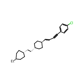 CC[C@H]1CC[C@H](CC[C@H]2CC[C@H](C=CC#Cc3ccc(Cl)cc3)CC2)CC1